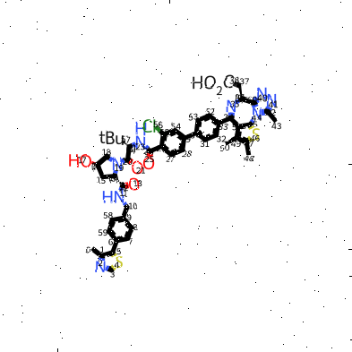 Cc1ncsc1-c1ccc(CNC(=O)[C@@H]2C[C@@H](O)CN2C(=O)[C@@H](NC(=O)c2ccc(-c3ccc(C4=N[C@@H](CC(=O)O)c5nnc(C)n5-c5sc(C)c(C)c54)cc3)cc2Cl)C(C)(C)C)cc1